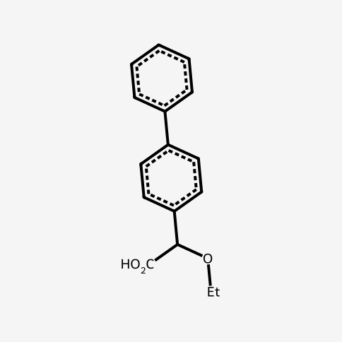 CCOC(C(=O)O)c1ccc(-c2ccccc2)cc1